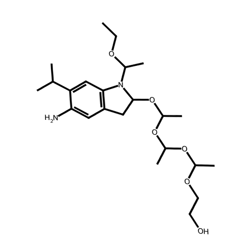 CCOC(C)N1c2cc(C(C)C)c(N)cc2CC1OC(C)OC(C)OC(C)OCCO